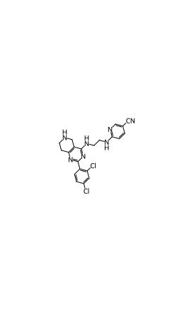 N#Cc1ccc(NCCNc2nc(-c3ccc(Cl)cc3Cl)nc3c2CNCC3)nc1